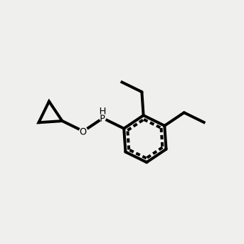 CCc1cccc(POC2CC2)c1CC